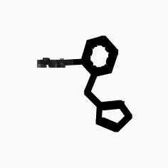 CCCCCc1ccccc1CC1=[C]CC=C1